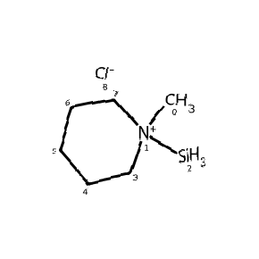 C[N+]1([SiH3])CCCCC1.[Cl-]